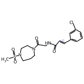 CS(=O)(=O)N1CCCN(C(=O)CNC(=O)/C=C/c2cccc(Cl)c2)CC1